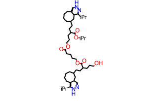 CC(C)OC(=O)C(CCCOC(=O)CCCCOC(=O)C(CCCO)CCC1CCCCC2=C(C(C)C)NN=CC2C1)CCC1CCCCC2=CNN=C(C(C)C)C2C1